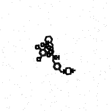 CN1CCN(Cc2ccc(CNC(=O)COCC3CCCCN3S(=O)(=O)c3c(Cl)cc(Cl)cc3Cl)cc2)CC1